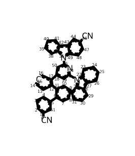 N#Cc1cccc(-c2ccccc2-c2ccccc2-c2cc(-n3c4ccccc4c4ccccc43)nc(-n3c4ccccc4c4cc(C#N)ccc43)c2)c1